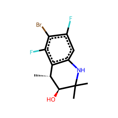 C[C@@H]1c2c(cc(F)c(Br)c2F)NC(C)(C)[C@H]1O